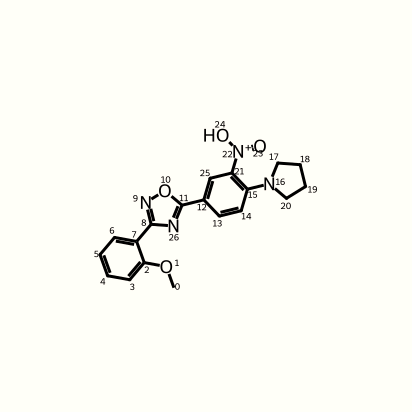 COc1ccccc1-c1noc(-c2ccc(N3CCCC3)c([N+](=O)O)c2)n1